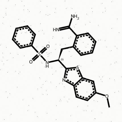 COc1ccc2nc([C@H](Cc3ccccc3C(=N)N)NS(=O)(=O)c3ccccc3)sc2c1